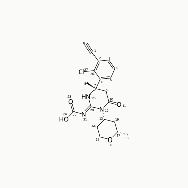 C#Cc1cccc([C@]2(C)CC(=O)N([C@H]3CCO[C@@H](C)C3)/C(=N/C(=O)O)N2)c1Cl